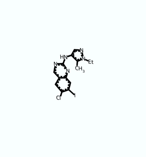 CCn1ncc(Nc2ncc3cc(Cl)c(I)cc3n2)c1C